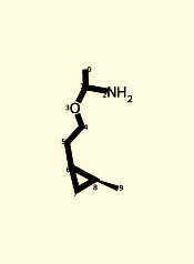 CC(N)OCCC1C[C@@H]1C